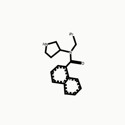 CC(C)CN(C(=O)c1cccc2ccccc12)C1CCNC1